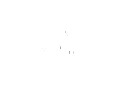 O=S.[Y].[Y]